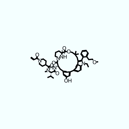 C=CC(=O)N1CCC(C(=O)N(C)[C@H](C(=O)N[C@H]2Cc3cc(O)cc(c3)-c3ccc4c(c3)c(c(-c3ccccc3CCOC)n4CC)CC(C)(C)COC(=O)[C@@H]3CCCN(N3)C2=O)C(C)C)CC1